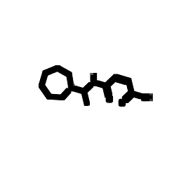 CC(NC(=O)/C=C\C(=O)O)N1CCCCCC1